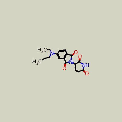 CCCN(CC)c1ccc2c(c1)C(=O)N(C1CCC(=O)NC1=O)C2=O